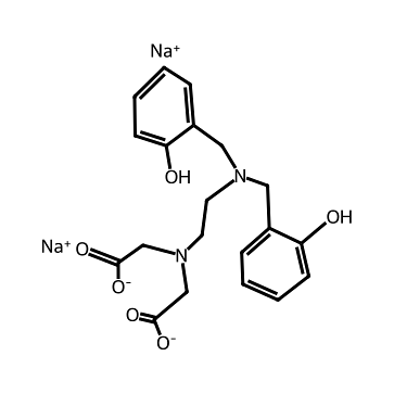 O=C([O-])CN(CCN(Cc1ccccc1O)Cc1ccccc1O)CC(=O)[O-].[Na+].[Na+]